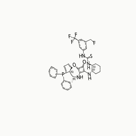 C[C@@H](Nc1c(N[C@H]2CCCC[C@@H]2NC(=S)Nc2cc(CF)cc(C(F)(F)F)c2)c(=O)c1=O)[C@@H]1C=CC=C1P(c1ccccc1)c1ccccc1